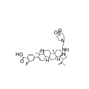 C=C(C)[C@@H]1CC[C@]2(NCCN3CCS(=O)(=O)CC3)CC[C@]3(C)[C@H](CC[C@@H]4[C@@]5(C)CC=C(c6ccc(C(=O)O)c(F)c6)C(C)(C)[C@@H]5CC[C@]43C)[C@@H]12